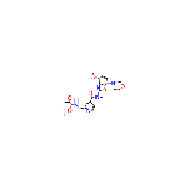 CCOC(NCc1cc(C(=O)Nc2nc3c(OC)ccc(N4CCOCC4)c3s2)ccn1)C(C)=O